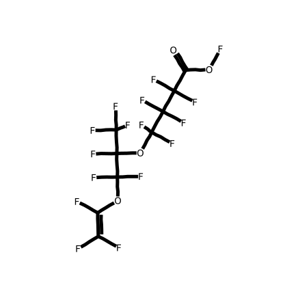 O=C(OF)C(F)(F)C(F)(F)C(F)(F)OC(F)(C(F)(F)F)C(F)(F)OC(F)=C(F)F